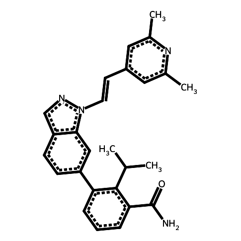 Cc1cc(C=Cn2ncc3ccc(-c4cccc(C(N)=O)c4C(C)C)cc32)cc(C)n1